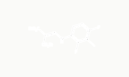 CCOC(=O)C(=CNc1ccc(F)c(C)c1F)C(=O)OCC